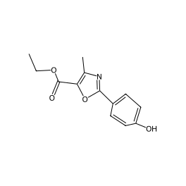 CCOC(=O)c1oc(-c2ccc(O)cc2)nc1C